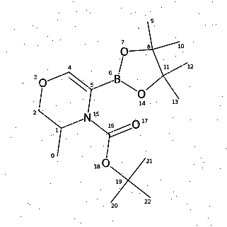 CC1COC=C(B2OC(C)(C)C(C)(C)O2)N1C(=O)OC(C)(C)C